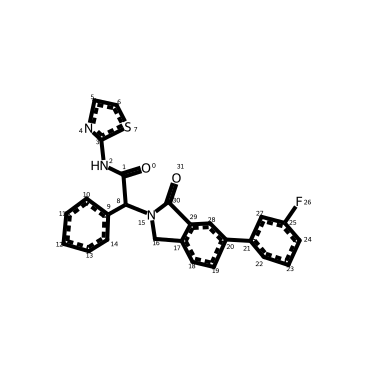 O=C(Nc1nccs1)C(c1ccccc1)N1Cc2ccc(-c3cccc(F)c3)cc2C1=O